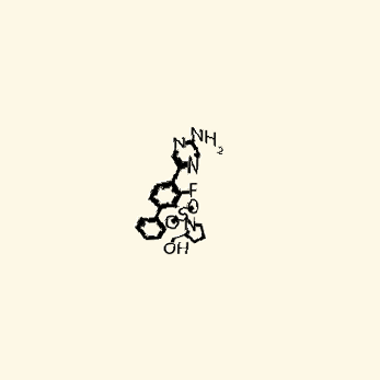 Nc1cnc(-c2ccc(-c3ccccc3)c(S(=O)(=O)N3CCC[C@H]3CO)c2F)cn1